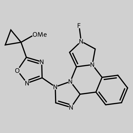 COC1(c2nc(N3C=NC4c5ccccc5N5CN(F)C=C5N43)no2)CC1